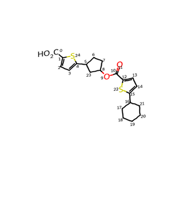 O=C(O)c1ccc(C2CCC(OC(=O)c3ccc(C4CCCCC4)s3)C2)s1